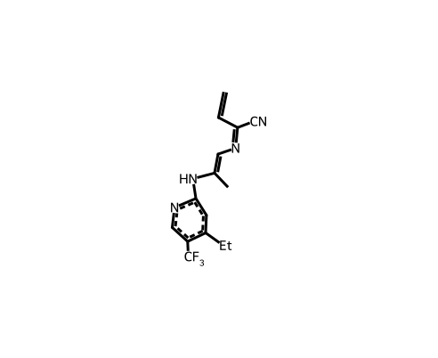 C=C/C(C#N)=N\C=C(/C)Nc1cc(CC)c(C(F)(F)F)cn1